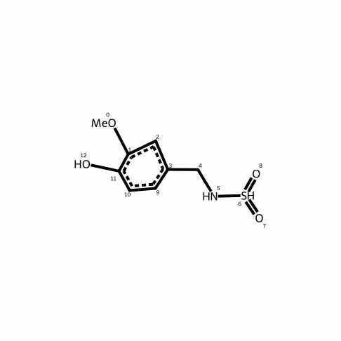 COc1cc(CN[SH](=O)=O)ccc1O